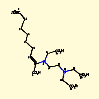 CCCCCCCCCCCCCCCC=C(C(=O)O)N(CCN(CC(=O)O)CC(=O)O)CC(=O)O